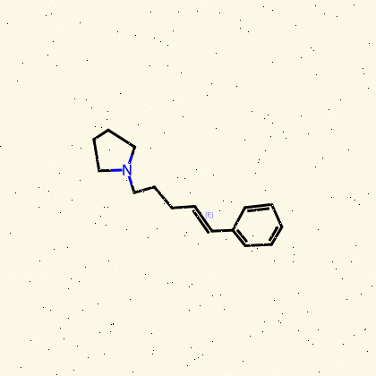 C(=C\c1ccccc1)/CCCN1CCCC1